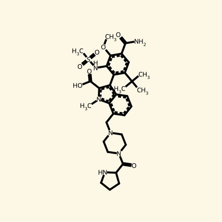 COc1c(C(N)=O)cc(C(C)(C)C)c(-c2c(C(=O)O)n(C)c3c(CN4CCN(C(=O)C5CCCN5)CC4)cccc23)c1NS(C)(=O)=O